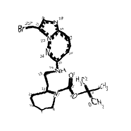 CC(C)(C)OC(=O)N1CCCCC1CNc1ccc2ncc(Br)n2n1